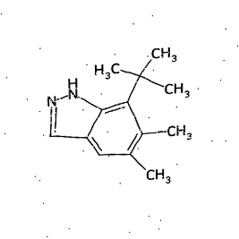 Cc1cc2cn[nH]c2c(C(C)(C)C)c1C